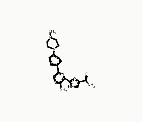 CN1CCN(c2ccc(-c3cnc(N)c(-c4nc(C(N)=O)c[nH]4)n3)cc2)CC1